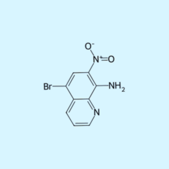 Nc1c([N+](=O)[O-])cc(Br)c2cccnc12